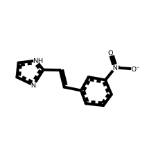 O=[N+]([O-])c1cccc(/C=C/c2ncc[nH]2)c1